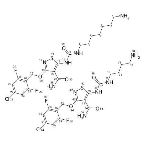 NCCCCCCCNC(=O)Nc1snc(OCc2c(F)cc(Cl)cc2F)c1C(N)=O.NCCCCNC(=O)Nc1snc(OCc2c(F)cc(Cl)cc2F)c1C(N)=O